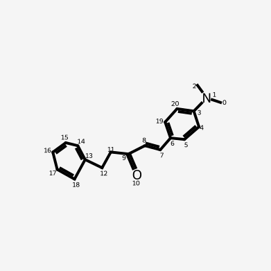 CN(C)c1ccc(/C=C/C(=O)CCc2ccccc2)cc1